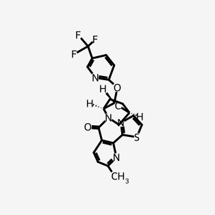 Cc1ccc(C(=O)N2C[C@@H]3CC[C@H]2[C@H](Oc2ccc(C(F)(F)F)cn2)C3)c(-c2nccs2)n1